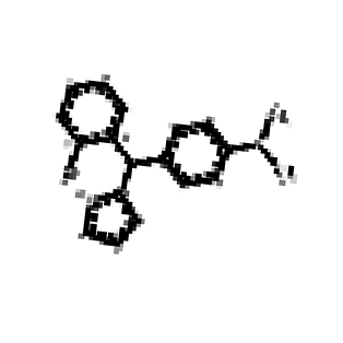 CN(C)c1ccc(C(c2cccs2)c2ccccc2O)cc1